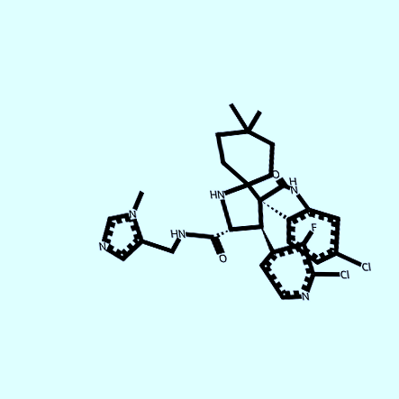 Cn1cncc1CNC(=O)[C@@H]1NC2(CCC(C)(C)CC2)[C@@]2(C(=O)Nc3cc(Cl)ccc32)[C@H]1c1ccnc(Cl)c1F